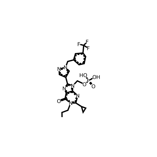 CCCn1c(C2CC2)nc2c(nc(-c3cnn(Cc4cccc(C(F)(F)F)c4)c3)n2COP(=O)(O)O)c1=O